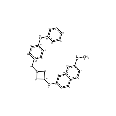 COc1ccc2ccc(OC3CN(Cc4ccc(Oc5ccccc5)cc4)C3)cc2c1